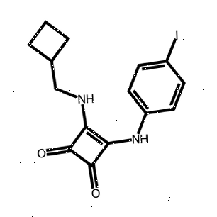 O=c1c(NCC2CCC2)c(Nc2ccc(I)cc2)c1=O